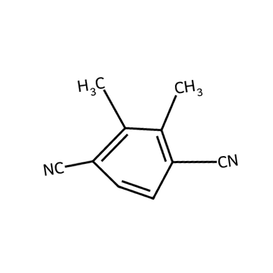 Cc1c(C#N)ccc(C#N)c1C